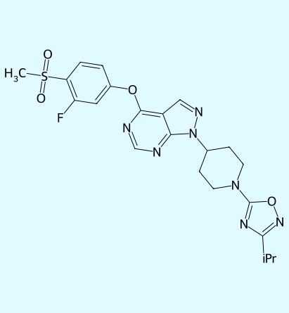 CC(C)c1noc(N2CCC(n3ncc4c(Oc5ccc(S(C)(=O)=O)c(F)c5)ncnc43)CC2)n1